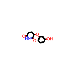 O=C1CCC(Oc2cccc(O)c2)C(=O)N1